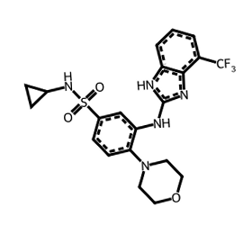 O=S(=O)(NC1CC1)c1ccc(N2CCOCC2)c(Nc2nc3c(C(F)(F)F)cccc3[nH]2)c1